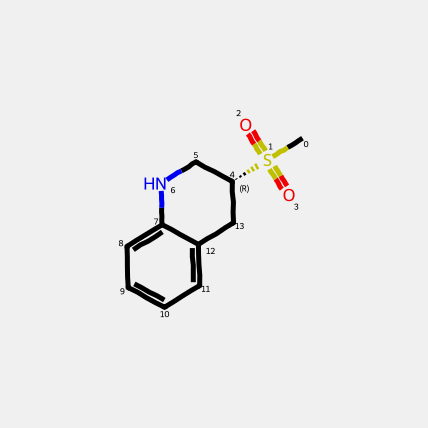 CS(=O)(=O)[C@H]1CNc2ccccc2C1